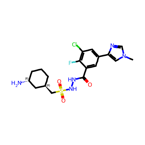 Cn1cnc(-c2cc(Cl)c(F)c(C(=O)NNS(=O)(=O)C[C@@H]3CCC[C@@H](N)C3)c2)c1